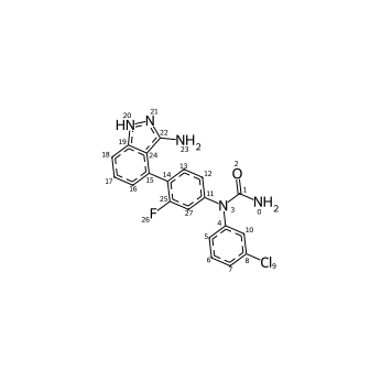 NC(=O)N(c1cccc(Cl)c1)c1ccc(-c2cccc3[nH]nc(N)c23)c(F)c1